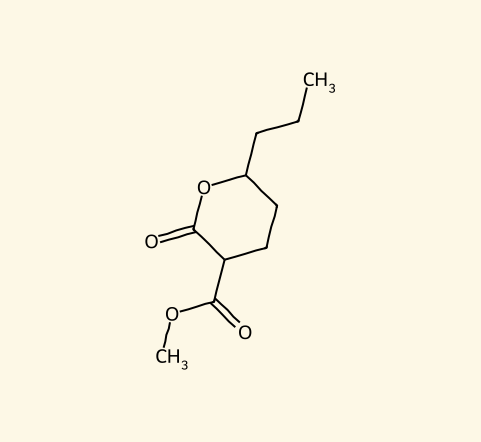 CCCC1CCC(C(=O)OC)C(=O)O1